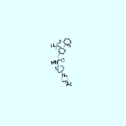 CC(=O)N1CCN(c2ccc(NC(=O)Cc3ccc(-c4ncccc4F)c(C)c3)nc2)CC1